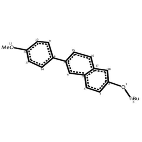 CCCCOc1ccc2cc(-c3ccc(OC)cc3)ccc2c1